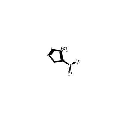 C[CH2][Ti]([CH2]C)[C]1=CC=CC1.Cl